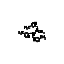 Cc1ccnc(CN(C)CCN(Cc2cc(C)ccn2)Cc2cc(C)ccn2)c1